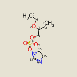 CCOC(CC)COS(=O)(=O)ON1C=NCC1